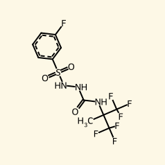 CC(NC(=O)NNS(=O)(=O)c1cccc(F)c1)(C(F)(F)F)C(F)(F)F